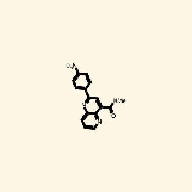 CNC(=O)c1cc(-c2ccc([N+](=O)[O-])cc2)nc2cccnc12